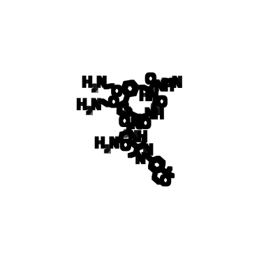 Cc1nc(-c2ccc3c(c2)CCOC3(C)C)nc(C)c1C(=O)N[C@@H](CCN)C(=O)N(C)[C@@H]1C(=O)N[C@@H](C)C(=O)N[C@H](C(=O)NCC#N)Cc2ccc(OCCN)c(c2)-c2cc1ccc2OCCN